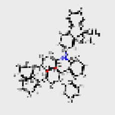 CC1(C)c2ccccc2-c2ccc(N(c3ccc(-c4ccccc4)cc3)c3cccc(-c4ccccc4)c3-c3ccc(-c4ccccc4)cc3)cc21